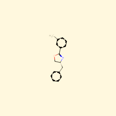 Cc1cccc(C2=N[C@@H](Cc3ccccc3)CO2)c1